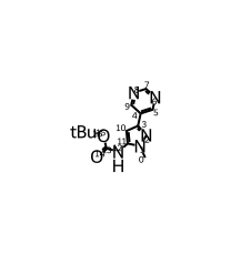 Cn1nc(-c2cncnc2)cc1NC(=O)OC(C)(C)C